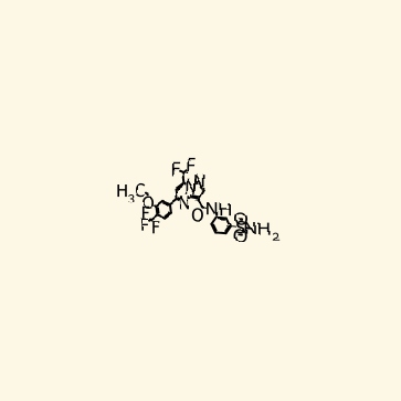 CCOc1cc(-c2cc(C(F)F)n3ncc(C(=O)Nc4cccc(S(N)(=O)=O)c4)c3n2)ccc1C(F)(F)F